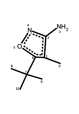 Cc1c(N)noc1C(C)(C)C